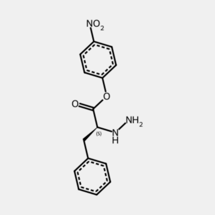 NN[C@@H](Cc1ccccc1)C(=O)Oc1ccc([N+](=O)[O-])cc1